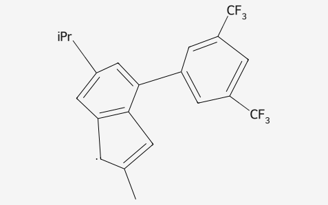 CC1=Cc2c(cc(C(C)C)cc2-c2cc(C(F)(F)F)cc(C(F)(F)F)c2)[CH]1